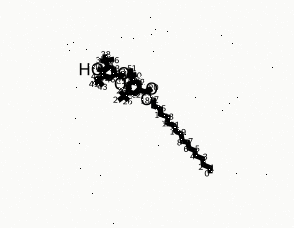 CCCCCCCCCCCCCCCCCCOC(=O)c1cc(C(C)(C)C)c(OC(=O)c2cc(C(C)(C)C)c(O)c(C(C)(C)C)c2)c(C(C)(C)C)c1